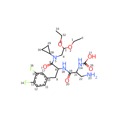 CCOC(CN(C(=O)C(Cc1ccc(F)c(F)c1)NC(=O)C(CN)NC(=O)O)C1CC1)OCC